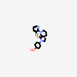 O=C1N(C2CCC(O)CC2)CC[C@@]12CCCN(c1ncccc1C(F)(F)F)C2